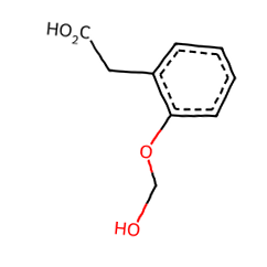 O=C(O)Cc1ccccc1OCO